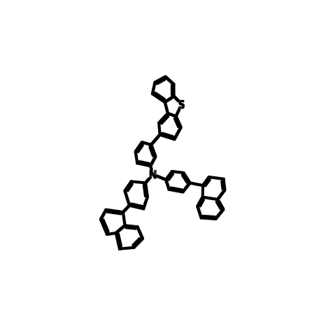 c1cc(-c2ccc3sc4ccccc4c3c2)cc(N(c2ccc(-c3cccc4ccccc34)cc2)c2ccc(-c3cccc4ccccc34)cc2)c1